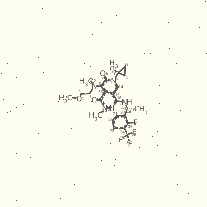 COCCN(C)c1c(=O)n(C2(C)CC2)cc2c(N[C@H](C)c3cccc(C(F)(F)F)c3F)nn(C)c(=O)c12